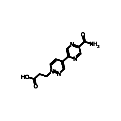 NC(=O)c1cnc(-c2cc[n+](CCC(=O)O)nc2)cn1